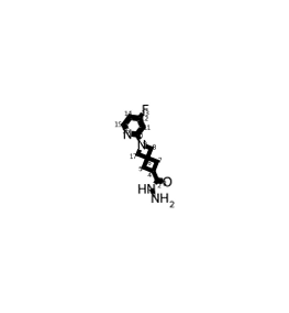 NNC(=O)C1CC2(C1)CN(c1cc(F)ccn1)C2